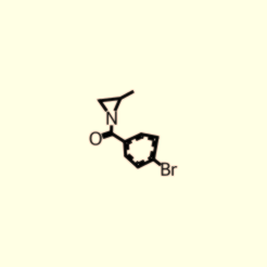 CC1CN1C(=O)c1ccc(Br)cc1